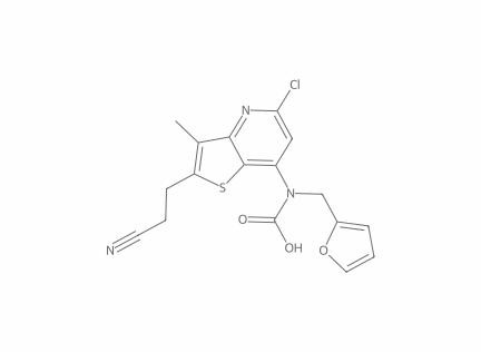 Cc1c(CCC#N)sc2c(N(Cc3ccco3)C(=O)O)cc(Cl)nc12